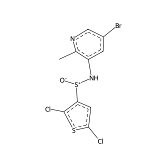 Cc1ncc(Br)cc1N[S+]([O-])c1cc(Cl)sc1Cl